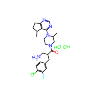 CC1CCc2ncnc(N3CCN(C(=O)C(CN)Cc4ccc(Cl)c(F)c4)CC3C)c21.Cl.Cl